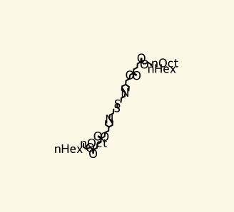 CCCCCCCCC(CCCCCC)COC(=O)CCCC(=O)OCCC1CCN(CCCSSCCCN2CCC(CCOC(=O)CCCC(=O)OCC(CCCCCC)CCCCCCCC)CC2)CC1